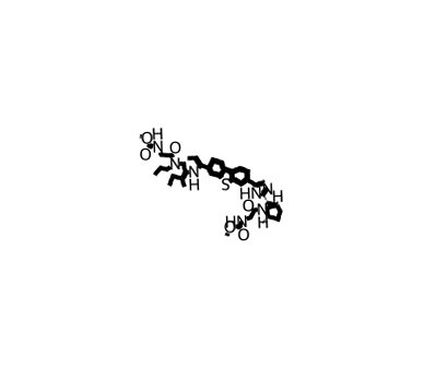 C/C=C(\N/C(CN(CCC)C(=O)CNC(=O)OC)=C(\C)CC)c1ccc2c(c1)sc1cc(-c3cnc([C@@H]4[C@H]5CC[C@H](C5)N4C(=O)CNC(=O)OC)[nH]3)ccc12